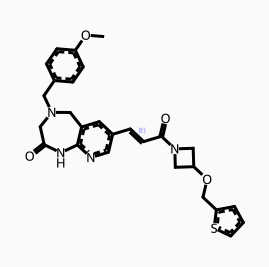 COc1ccc(CN2CC(=O)Nc3ncc(/C=C/C(=O)N4CC(OCc5cccs5)C4)cc3C2)cc1